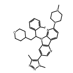 Cc1nnn(C)c1-c1cnc2c3ccc(N4CCN(C)CC4)nc3n(C(CC3CCOCC3)c3ccccc3F)c2c1